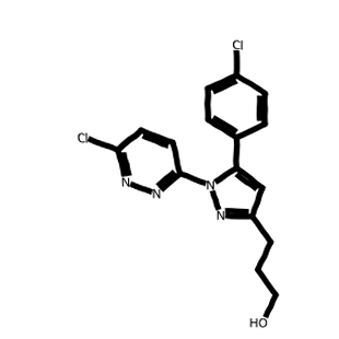 OCCCc1cc(-c2ccc(Cl)cc2)n(-c2ccc(Cl)nn2)n1